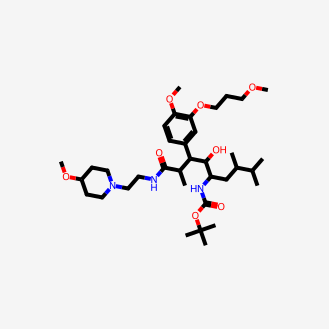 COCCCOc1cc(C(C(C)C(=O)NCCN2CCC(OC)CC2)C(O)C(CC(C)C(C)C)NC(=O)OC(C)(C)C)ccc1OC